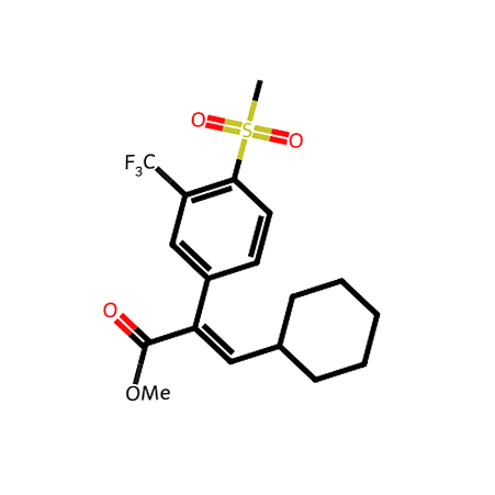 COC(=O)/C(=C/C1CCCCC1)c1ccc(S(C)(=O)=O)c(C(F)(F)F)c1